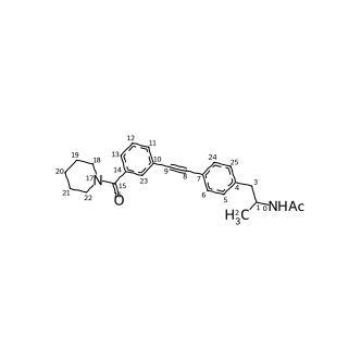 CC(=O)NC(C)Cc1ccc(C#Cc2cccc(C(=O)N3CCCCC3)c2)cc1